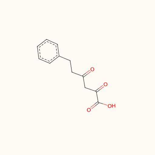 O=C(CCc1ccccc1)CC(=O)C(=O)O